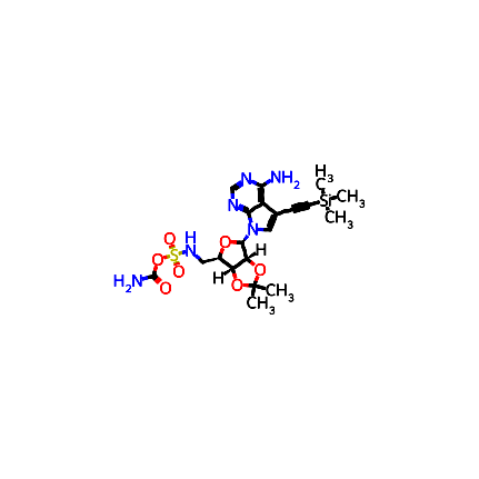 CC1(C)O[C@@H]2[C@H](O1)[C@@H](CNS(=O)(=O)OC(N)=O)O[C@H]2n1cc(C#C[Si](C)(C)C)c2c(N)ncnc21